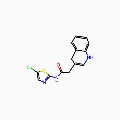 O=C(CC1=CNc2ccccc2C1)Nc1ncc(Cl)s1